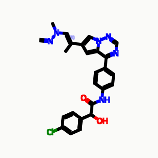 C=NN(C)/C=C(\C)c1cc2c(-c3ccc(NC(=O)C(O)c4ccc(Cl)cc4)cc3)ncnn2c1